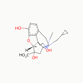 C[N+]1(CC2CC2)CCC23c4c5ccc(O)c4O[C@H]2C(O)(C(=O)O)CC3(O)C1C5